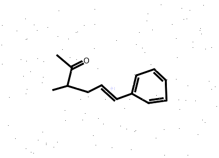 CC(=O)C(C)C/C=C/c1ccccc1